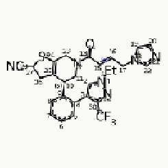 CCn1cc(-c2ccccc2[C@@H]2CN(C(=O)/C=C/Cn3ccnc3)CC3=C2CC(C#N)S3)c(C(F)(F)F)n1